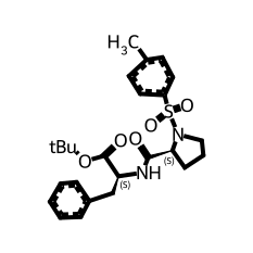 Cc1ccc(S(=O)(=O)N2CCC[C@H]2C(=O)N[C@@H](Cc2ccccc2)C(=O)OC(C)(C)C)cc1